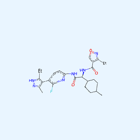 CCc1nocc1C(=O)N[C@H](C(=O)Nc1ccc(-c2c(C)n[nH]c2CC)c(F)n1)C1CCC(C)CC1